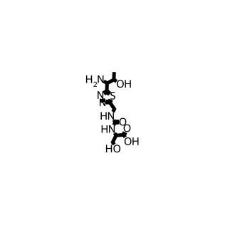 CC(O)C(N)c1nnc(CNC(=O)NC(CO)C(=O)O)s1